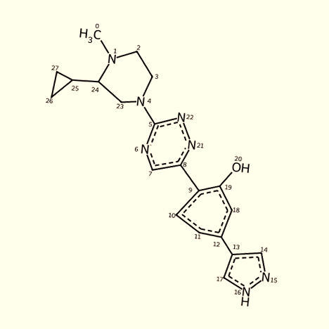 CN1CCN(c2ncc(-c3ccc(-c4cn[nH]c4)cc3O)nn2)CC1C1CC1